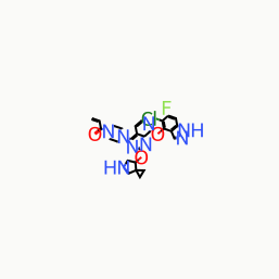 C=CC(=O)N1CCN(c2nc(OC3CNCC34CC4)nc3c(Oc4c(Cl)c(F)cc5[nH]ncc45)nccc23)CC1